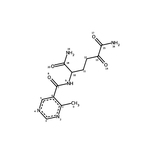 Cc1ncncc1C(=O)NC(CCC(=O)C(N)=O)C(N)=O